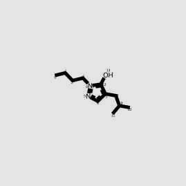 CCCCn1ncc(CC(C)C)c1O